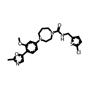 COc1cc(N2CCCN(C(=O)NCc3ccc(Cl)s3)CC2)ccc1-c1cnc(C)o1